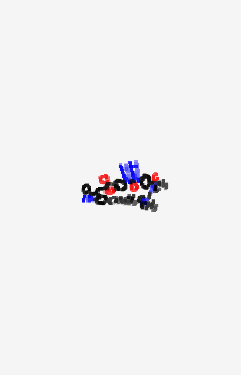 COc1ccc2[nH]c(C3CCCCC3)c(C=C3Oc4ccc(NC(=O)Nc5ccc(C(=O)N(C)CCN(C)C)cc5)cc4C3=O)c2c1